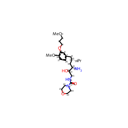 COCCCOc1cc(C[C@@H](C[C@H](N)[C@@H](O)CNC(=O)N2CCOCC2)C(C)C)ccc1OC